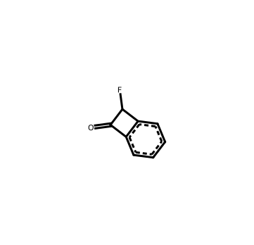 O=C1c2ccccc2C1F